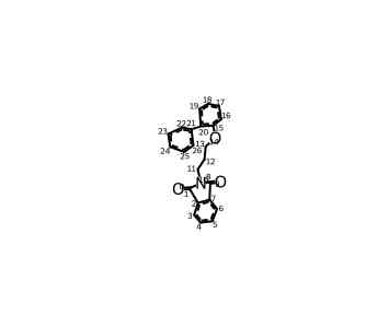 O=C1c2ccccc2C(=O)N1CCCOc1ccccc1-c1ccccc1